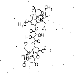 CCC1CC(=O)C2Oc3c(OC)cc(OC(=O)C(O)C(O)C(=O)Oc4cc(OC)c5c6c4C[C@@H]4[C@@H]7C(CC)CC(=O)C(O5)[C@]67CCN4CC4CC4)c4c3[C@@]23CCN(CC2CC2)[C@H](C4)[C@H]13